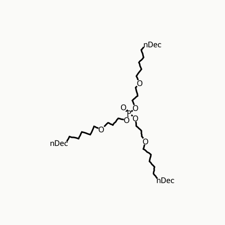 CCCCCCCCCCCCCCCOCCCOP(=O)(OCCCOCCCCCCCCCCCCCCC)OCCCOCCCCCCCCCCCCCCC